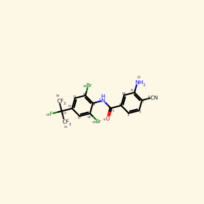 N#Cc1ccc(C(=O)Nc2c(Br)cc(C(F)(C(F)(F)F)C(F)(F)F)cc2Br)cc1N